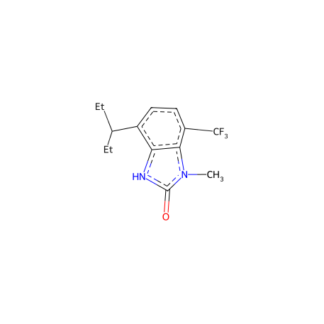 CCC(CC)c1ccc(C(F)(F)F)c2c1[nH]c(=O)n2C